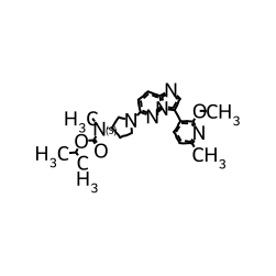 COc1nc(C)ccc1-c1cnc2ccc(N3CC[C@H](N(C)C(=O)OC(C)C)C3)nn12